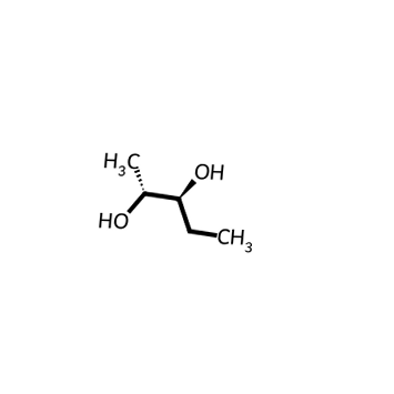 CC[C@H](O)[C@@H](C)O